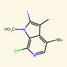 Cc1c(I)n(C(=O)O)c2c(Cl)ncc(C(C)(C)C)c12